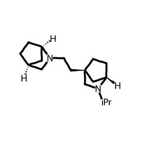 CC(C)N1C[C@]2(CCN3C[C@H]4CC[C@@H]3C4)CC[C@H]1C2